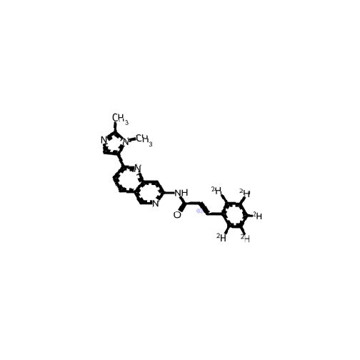 [2H]c1c([2H])c([2H])c(/C=C/C(=O)Nc2cc3nc(-c4cnc(C)n4C)ccc3cn2)c([2H])c1[2H]